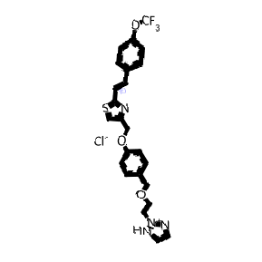 FC(F)(F)Oc1ccc(/C=C/c2nc(COc3ccc(COCC[n+]4ncc[nH]4)cc3)cs2)cc1.[Cl-]